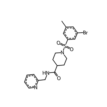 Cc1cc(Br)cc(S(=O)(=O)N2CCC(C(=O)NCc3ccccn3)CC2)c1